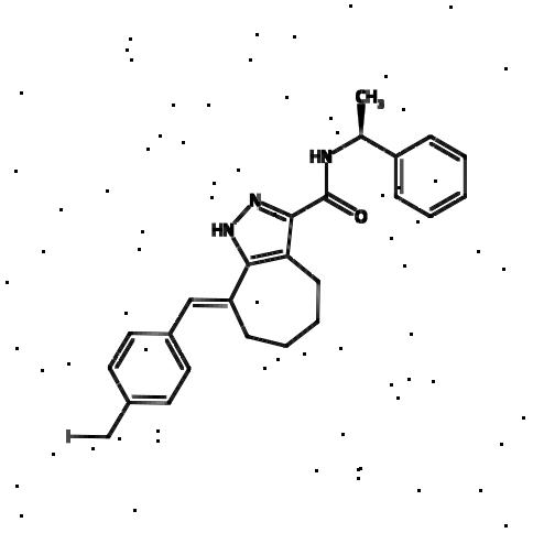 C[C@H](NC(=O)c1n[nH]c2c1CCCC/C2=C\c1ccc(CI)cc1)c1ccccc1